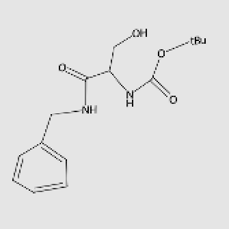 CC(C)(C)OC(=O)NC(CO)C(=O)NCc1ccccc1